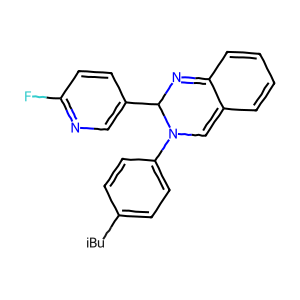 CCC(C)c1ccc(N2C=c3ccccc3=NC2c2ccc(F)nc2)cc1